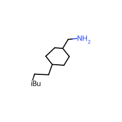 CCC(C)CCC1CCC(CN)CC1